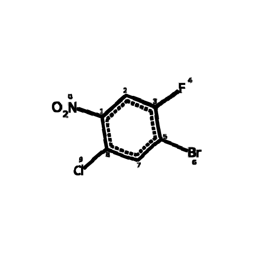 O=[N+]([O-])c1cc(F)c(Br)cc1Cl